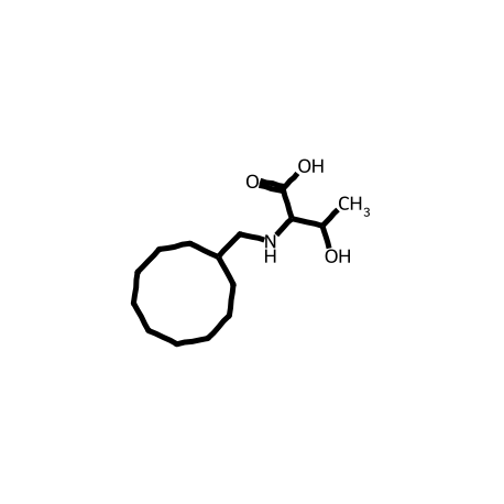 CC(O)C(NCC1CCCCCCCCC1)C(=O)O